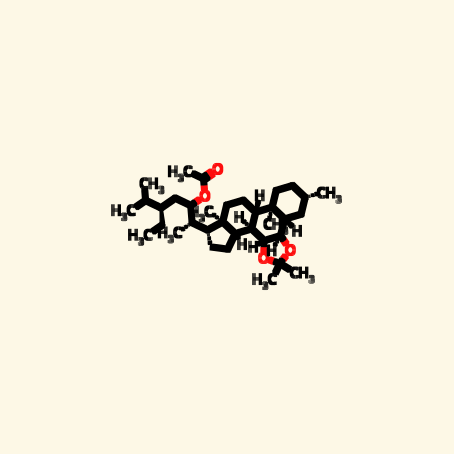 CC[C@H](CC(OC(C)=O)[C@@H](C)[C@H]1CC[C@H]2[C@@H]3[C@H]4OC(C)(C)O[C@@H]4[C@H]4C[C@@H](C)CC[C@]4(C)[C@H]3CC[C@]12C)C(C)C